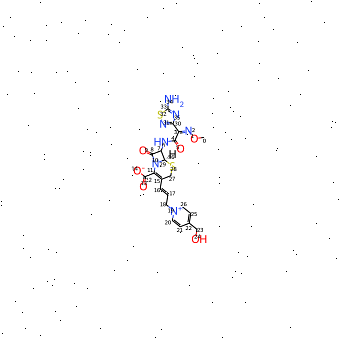 CO/N=C(\C(=O)NC1C(=O)N2C(C(=O)[O-])=C(/C=C/C[n+]3ccc(CO)cc3)CS[C@H]12)c1nsc(N)n1